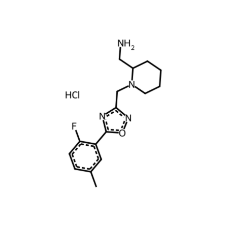 Cc1ccc(F)c(-c2nc(CN3CCCCC3CN)no2)c1.Cl